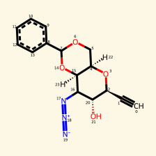 C#C[C@@H]1O[C@@H]2COC(c3ccccc3)O[C@@H]2C(N=[N+]=[N-])[C@H]1O